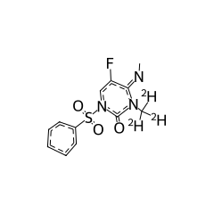 [2H]C([2H])([2H])n1c(=O)n(S(=O)(=O)c2ccccc2)cc(F)/c1=N\C